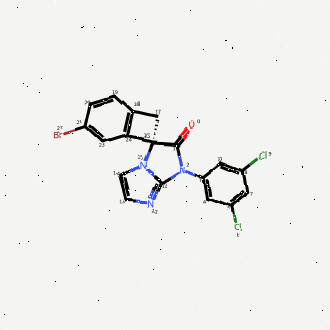 O=C1N(c2cc(Cl)cc(Cl)c2)c2nccn2[C@]12Cc1ccc(Br)cc12